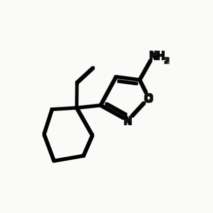 CCC1(c2cc(N)on2)CCCCC1